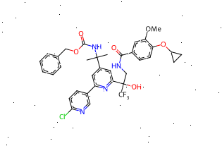 COc1cc(C(=O)NCC(O)(c2cc(C(C)(C)NC(=O)OCc3ccccc3)cc(-c3ccc(Cl)nc3)n2)C(F)(F)F)ccc1OC1CC1